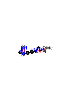 COC(=O)NC(C(=O)N1CCCC1c1ncc(-c2ccc(-c3ccc(-c4cnc(C5CCCN5C(=O)CNC(C)C)[nH]4)cc3)cc2)[nH]1)C(C)C